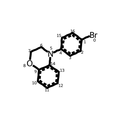 Brc1ccc(N2CCOc3ccccc32)cc1